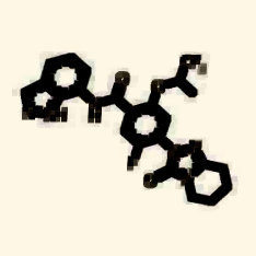 CC(Oc1cc(-n2nc3n(c2=O)CCCC3)c(F)cc1C(=O)Nc1cccc2cn[nH]c12)C(F)(F)F